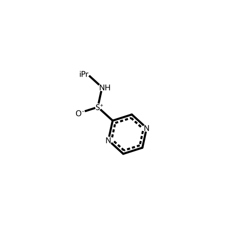 CC(C)N[S+]([O-])c1cnccn1